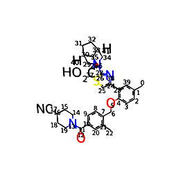 Cc1ccc(OCc2ccc(C(=O)N3CCC(C#N)CC3)cc2C)c(-c2csc(N3C[C@H]4CC[C@@H](C3)C4CC(=O)O)n2)c1